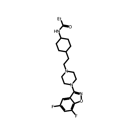 CCC(=O)NC1CCC(CCN2CCN(c3noc4c(F)cc(F)cc34)CC2)CC1